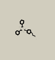 SCCCc1ccc(-c2nc(-c3ccccc3)nc(-c3ccccc3)n2)cc1